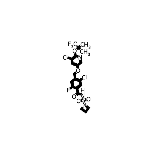 CC(C)(Oc1ncc(OCc2cc(F)c(C(=O)NS(=O)(=O)N3CCC3)cc2Cl)cc1Cl)C(F)(F)F